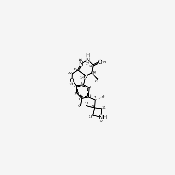 Cc1cc2c(cc1[C@H](C)C1(C)CNC1)N1C(=NNC(=O)[C@H]1C)CO2